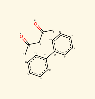 CC(=O)CC(C)=O.c1ccc(-c2ccccc2)cc1